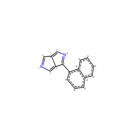 C1=NC=C2C1=CN=C2c1cccc2ccccc12